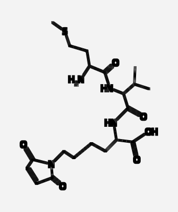 CSCCC(N)C(=O)NC(C(=O)NC(CCCCN1C(=O)C=CC1=O)C(=O)O)C(C)C